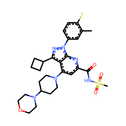 Cc1cc(-n2nc(C3CCC3)c3c(N4CCC(N5CCOCC5)CC4)cc(C(=O)NS(C)(=O)=O)nc32)ccc1F